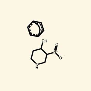 O=[N+]([O-])C1CNCCC1O.c1cc2ccc1CC2